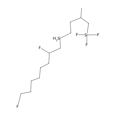 CC(CC[SiH2]CC(F)CCCCCCF)C[Si](F)(F)F